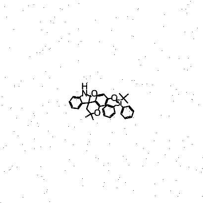 CC1(C)CC2(C(=O)Nc3ccccc32)c2ccc(O[Si](c3ccccc3)(c3ccccc3)C(C)(C)C)cc2O1